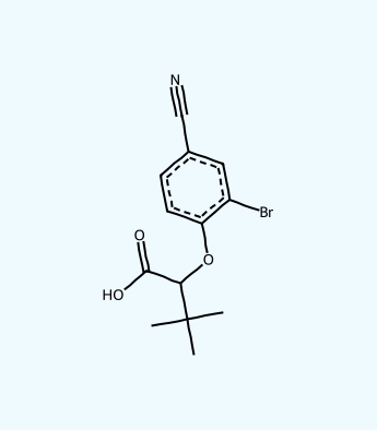 CC(C)(C)C(Oc1ccc(C#N)cc1Br)C(=O)O